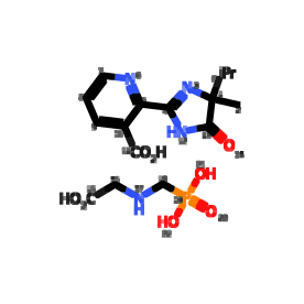 CC(C)C1(C)N=C(c2ncccc2C(=O)O)NC1=O.O=C(O)CNCP(=O)(O)O